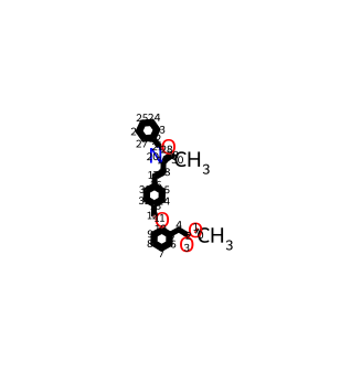 COC(=O)Cc1ccccc1OCc1ccc(C=Cc2nc(-c3ccccc3)oc2C)cc1